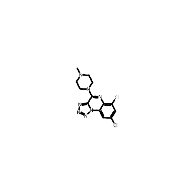 CN1CCN(c2nc3c(Cl)cc(Cl)cc3n3nnnc23)CC1